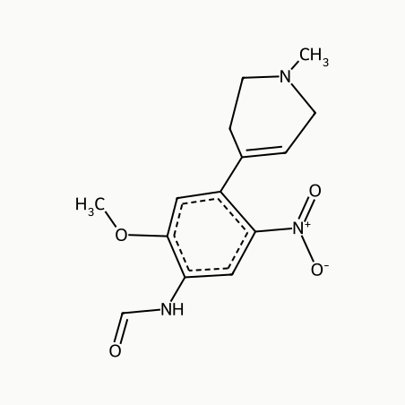 COc1cc(C2=CCN(C)CC2)c([N+](=O)[O-])cc1NC=O